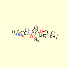 Cc1cc(C)c(CNC(=O)c2cc3cccn3c(C(C)Oc3ccc(N(C)C)cc3)c2C)c(=O)[nH]1